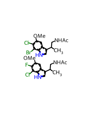 COc1cc2c(C(C)CNC(C)=O)c[nH]c2c(Br)c1Cl.COc1cc2c(C(C)CNC(C)=O)c[nH]c2c(Cl)c1F